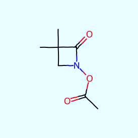 CC(=O)ON1CC(C)(C)C1=O